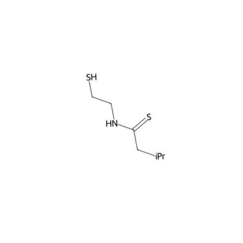 CC(C)CC(=S)NCCS